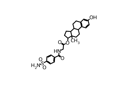 CC12CCC3c4ccc(O)cc4CCC3C1CCC2OC(=O)CNC(=O)c1ccc(S(N)(=O)=O)cc1